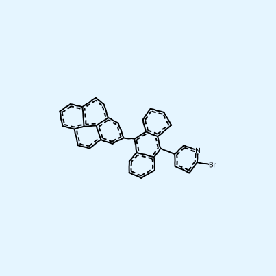 Brc1ccc(-c2c3ccccc3c(-c3cc4ccc5cccc6ccc(c3)c4c56)c3ccccc23)cn1